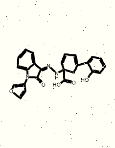 O=C1C(=NNC2(C(=O)O)C=CC=C(c3ccccc3O)C2)c2ccccc2N1c1ccoc1